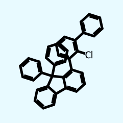 Clc1c(-c2ccccc2)cccc1-c1cccc2c1C(c1ccccc1)(c1ccccc1)c1ccccc1-2